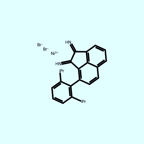 CC(C)c1cccc(C(C)C)c1-c1ccc2cccc3c2c1C(=N)C3=N.[Br-].[Br-].[Ni+2]